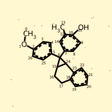 COc1ccc(C2(c3ccc(O)c(C)c3)C3CCc4ccccc4C32)cc1